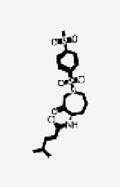 CC(C)C[CH]C(=O)N[C@H]1CCCN(S(=O)(=O)c2ccc(S(C)(=O)=O)cc2)CC1=O